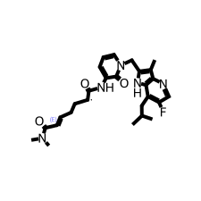 Cc1c(Cn2cccc(NC(=O)[CH]CC/C=C/C(=O)N(C)C)c2=O)[nH]c2c(CC(C)C)c(F)cnc12